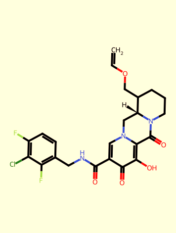 C=COCC1CCCN2C(=O)c3c(O)c(=O)c(C(=O)NCc4ccc(F)c(Cl)c4F)cn3C[C@H]12